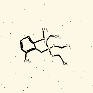 CCO[Si](Cc1c(C)cccc1OC)(OCC)OCC